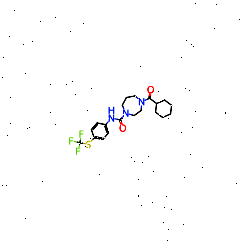 O=C(Nc1ccc(SC(F)(F)F)cc1)N1CCCN(C(=O)C2CCCCC2)CC1